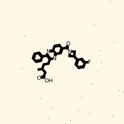 CC(CCc1nc2cc(C(=O)N3CC(c4cccc(F)c4)C3)ccc2nc1-c1ccccc1)CC(=O)O